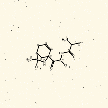 CC(C)C(N)C(=O)N[C@@H](C)C(=O)C12C=CCC(C1)C(C)(C)N2